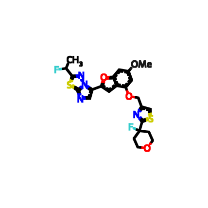 COc1cc(OCc2csc(C3(F)CCOCC3)n2)c2cc(-c3cnc4sc(C(C)F)nn34)oc2c1